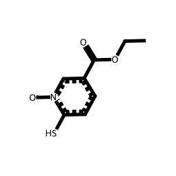 CCOC(=O)c1ccc(S)[n+]([O-])c1